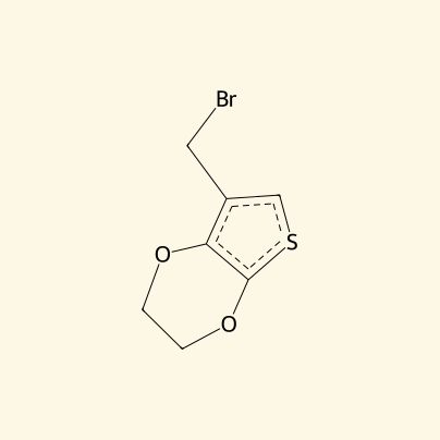 BrCc1csc2c1OCCO2